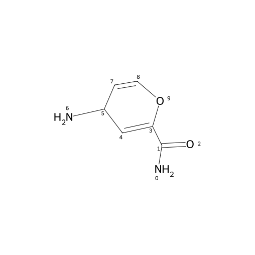 NC(=O)C1=CC(N)C=CO1